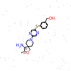 C[C@@H]1OCC2(CCN(c3cnc(Sc4cccc(CO)c4)cn3)CC2)[C@@H]1N